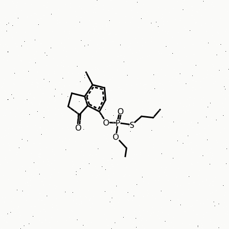 CCCSP(=O)(OCC)Oc1ccc(C)c2c1C(=O)CC2